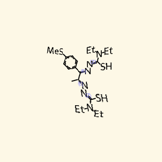 CCN(CC)/C(S)=N/N=C(C)/C(=N/N=C(\S)N(CC)CC)c1ccc(SC)cc1